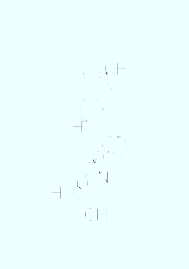 CCCCS(=O)(=O)N(Cc1ccc(-c2cccc(S(C)(=O)=O)c2)s1)CC(C)C